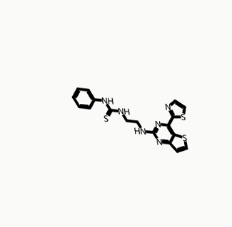 S=C(NCCNc1nc(-c2nccs2)c2sccc2n1)Nc1ccccc1